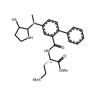 COC(=O)[C@H](CCSC)NC(=O)c1cc(N(C)C2NCCC2S)ccc1-c1ccccc1